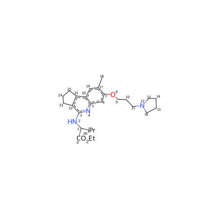 CCOC(=O)C(Nc1nc2cc(OCCCN3CCCC3)c(C)cc2c2c1CCC2)C(C)C